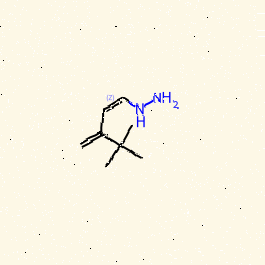 C=C(/C=C\NN)C(C)(C)C